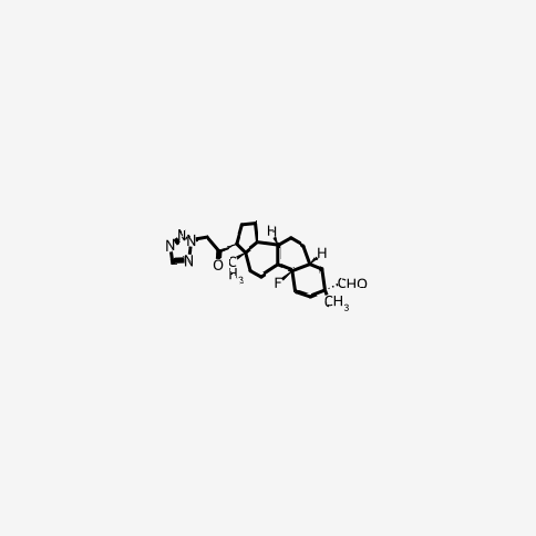 C[C@@]1(C=O)CC[C@]2(F)C3CC[C@@]4(C)C(CC[C@@H]4C(=O)Cn4ncnn4)[C@@H]3CC[C@@H]2C1